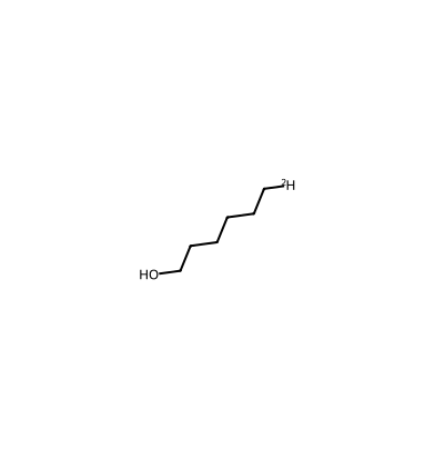 [2H]CCCCCCO